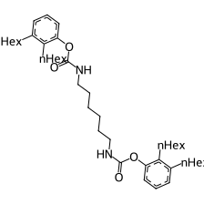 CCCCCCc1cccc(OC(=O)NCCCCCCNC(=O)Oc2cccc(CCCCCC)c2CCCCCC)c1CCCCCC